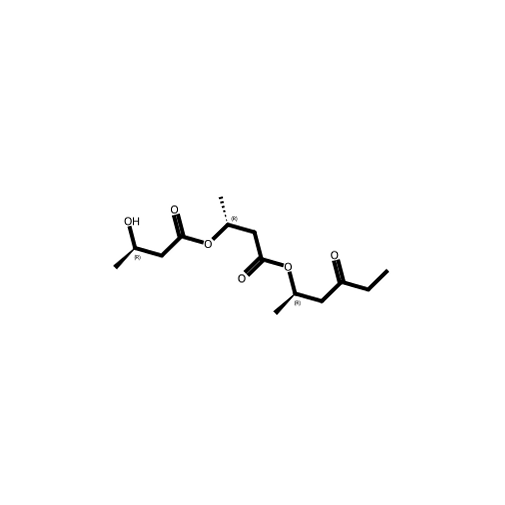 CCC(=O)C[C@@H](C)OC(=O)C[C@@H](C)OC(=O)C[C@@H](C)O